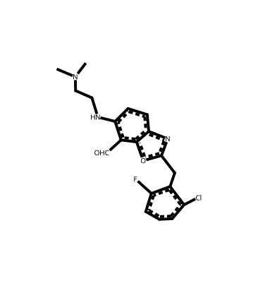 CN(C)CCNc1ccc2nc(Cc3c(F)cccc3Cl)oc2c1C=O